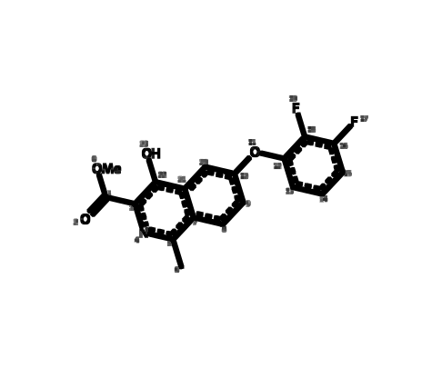 COC(=O)c1nc(C)c2ccc(Oc3cccc(F)c3F)cc2c1O